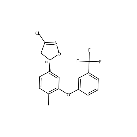 Cc1ccc([C@H]2CC(Cl)=NO2)cc1Oc1cccc(C(F)(F)F)c1